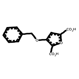 O=C(O)c1cc(OCc2ccccc2)c(C(=O)O)o1